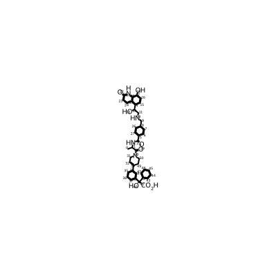 CC(NC(=O)c1ccc(CNCC(O)c2ccc(O)c3[nH]c(=O)ccc23)cc1)C(=O)N1CC=C(c2cccc(C(O)(C(=O)O)c3ccccc3)c2)CC1